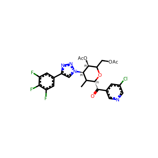 CC(=O)OCC1O[C@H](C(=O)c2cncc(Cl)c2)C(C)[C@@H](n2cc(-c3cc(F)c(F)c(F)c3)nn2)[C@H]1OC(C)=O